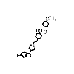 CO[C@H]1CC[C@H](C(=O)NC2CCC(CCN3CCC(C(=O)c4ccc(F)cc4)CC3)CC2)CC1